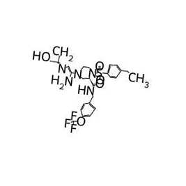 C=C/C(CO)=N\C=C(/N)N1CCN(S(=O)(=O)c2ccc(CC)cc2)[C@@H](C(=O)NCc2ccc(OC(F)(F)F)cc2)C1